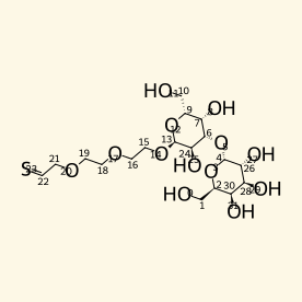 OC[C@H]1O[C@H](O[C@H]2[C@@H](O)[C@@H](CO)O[C@H](OCCOCCOCC=S)[C@@H]2O)[C@H](O)[C@@H](O)[C@H]1O